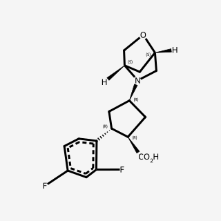 O=C(O)[C@@H]1C[C@H](N2C[C@@H]3C[C@H]2CO3)C[C@H]1c1ccc(F)cc1F